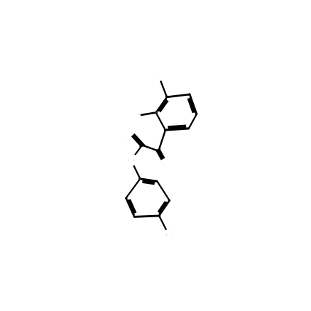 C=C(Oc1ccc(Cl)cc1)C(=O)c1cccc(F)c1Cl